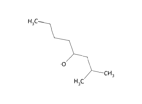 CCCCC([O])CC(C)C